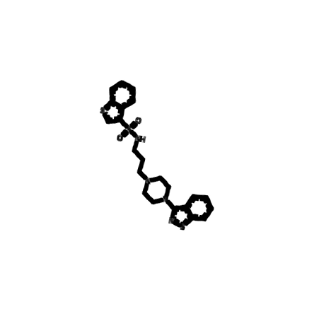 O=S(=O)(NCCCN1CCN(c2nsc3ccccc23)CC1)c1csc2ccccc12